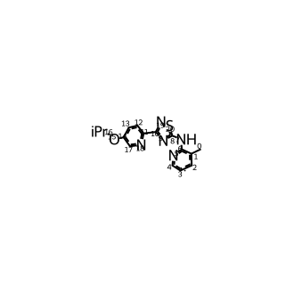 Cc1c[c]cnc1Nc1nc(-c2ccc(OC(C)C)cn2)ns1